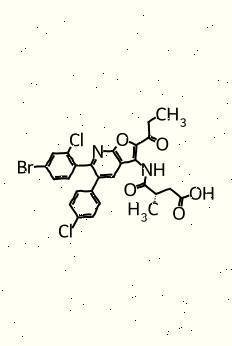 CCC(=O)c1oc2nc(-c3ccc(Br)cc3Cl)c(-c3ccc(Cl)cc3)cc2c1NC(=O)[C@@H](C)CC(=O)O